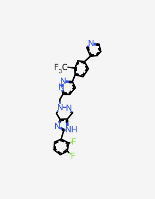 Fc1cccc(-c2nc3c([nH]2)C=NN(Cc2ccc(-c4ccc(-c5cccnc5)cc4C(F)(F)F)nn2)C3)c1F